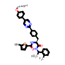 CCCCCCCOc1ccc(-c2cnc(-c3ccc(C[C@H](NC(=O)c4ccc(C(C)(C)C)s4)C(=O)NC(C(=O)O)c4ccccc4C(F)(F)F)cc3)nc2)cc1